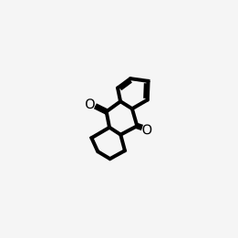 O=C1C2C=CC=CC2C(=O)C2CCCCC12